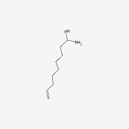 C=CCCCCCCC(N)CCC